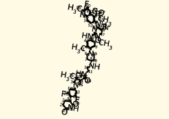 COc1cc(N2CCC(NCCNC(=O)[C@H]3CN(c4cc(F)c([C@H]5CCC(=O)NC5=O)c(F)c4)CC3(C)C)CC2)c(C)cc1Nc1ncc(Br)c(Nc2ccc3nc(C)c(F)cc3c2P(C)(C)=O)n1